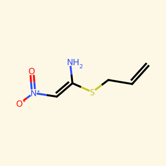 C=CCSC(N)=C[N+](=O)[O-]